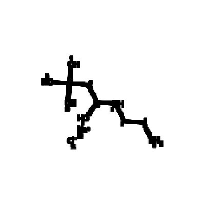 NCCNC(O)CC(O)(O)O.[Cl-].[Na+]